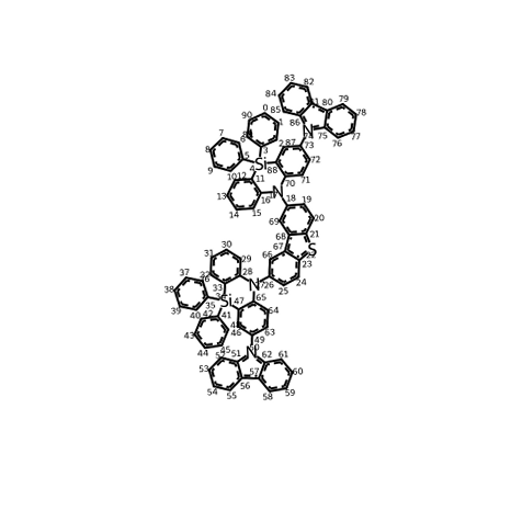 c1ccc([Si]2(c3ccccc3)c3ccccc3N(c3ccc4sc5ccc(N6c7ccccc7[Si](c7ccccc7)(c7ccccc7)c7cc(-n8c9ccccc9c9ccccc98)ccc76)cc5c4c3)c3ccc(-n4c5ccccc5c5ccccc54)cc32)cc1